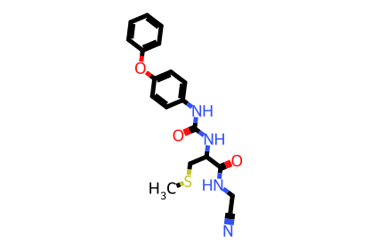 CSCC(NC(=O)Nc1ccc(Oc2ccccc2)cc1)C(=O)NCC#N